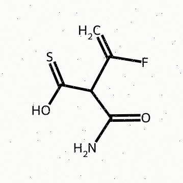 C=C(F)C(C(N)=O)C(O)=S